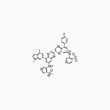 CS(=O)(=O)c1ccncc1Nc1cc(-c2ccc(F)cc2)c2nccnc2c1.Cc1cc(-c2cc(Nc3cnccc3S(C)(=O)=O)cc3nccnc23)cc2c1ccn2C